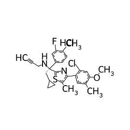 C#CCN[C@@](CC1CC1)(c1ccc(C)c(F)c1)c1nc(-c2cc(C)c(OC)cc2Cl)c(C)s1.Cl